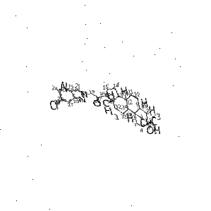 CC[C@]12CC[C@@](C)(O)C[C@@H]1CC[C@H]1[C@@H]3CC[C@H](C(=O)Cn4cc5ncc(Cl)cc5n4)[C@@]3(C)CC[C@@H]12